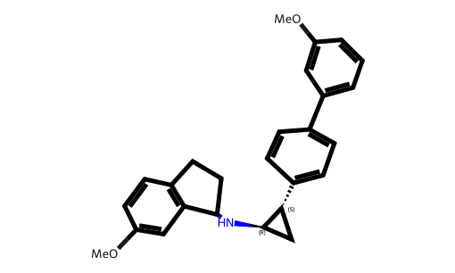 COc1cccc(-c2ccc([C@@H]3C[C@H]3NC3CCc4ccc(OC)cc43)cc2)c1